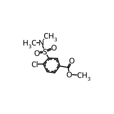 COC(=O)c1ccc(Cl)c(S(=O)(=O)N(C)C)c1